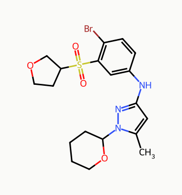 Cc1cc(Nc2ccc(Br)c(S(=O)(=O)C3CCOC3)c2)nn1C1CCCCO1